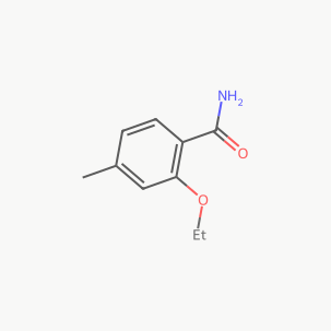 CCOc1cc(C)ccc1C(N)=O